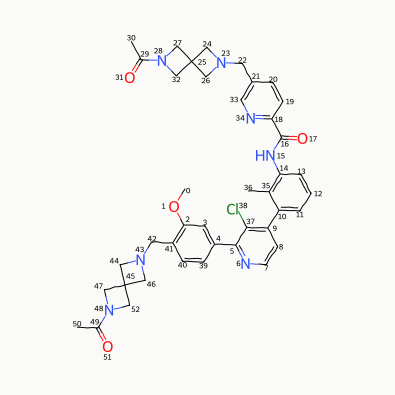 COc1cc(-c2nccc(-c3cccc(NC(=O)c4ccc(CN5CC6(C5)CN(C(C)=O)C6)cn4)c3C)c2Cl)ccc1CN1CC2(C1)CN(C(C)=O)C2